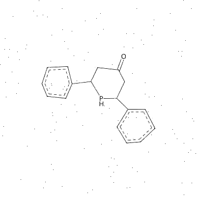 O=C1CC(c2ccccc2)PC(c2ccccc2)C1